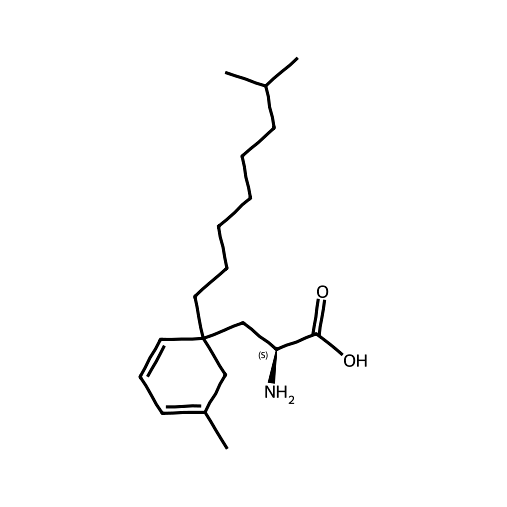 CC1=CC=CC(CCCCCCC(C)C)(C[C@H](N)C(=O)O)C1